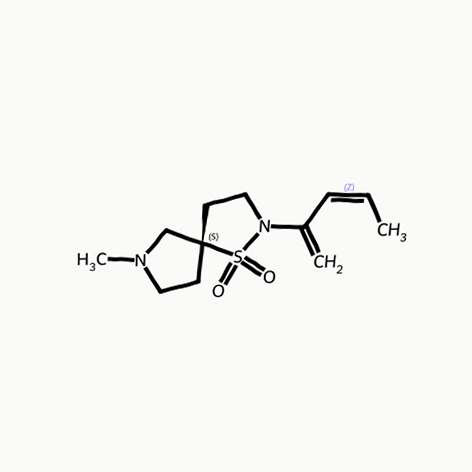 C=C(/C=C\C)N1CC[C@]2(CCN(C)C2)S1(=O)=O